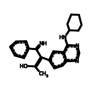 C/C(O)=C(/C(=N)c1ccccc1)c1ccc2ncnc(NC3CCCCC3)c2c1